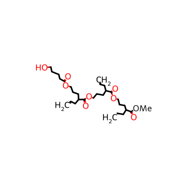 C=CCC(CCCOC(=O)C(CC=C)CCCOC(=O)C(CC=C)CCCOC(=O)CCCCO)C(=O)OC